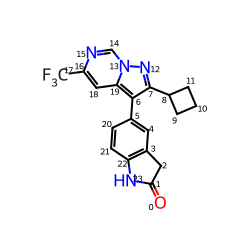 O=C1Cc2cc(-c3c(C4CCC4)nn4cnc(C(F)(F)F)cc34)ccc2N1